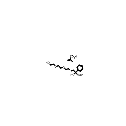 C=C(C)C(=O)O.CCCCCCCCCC(O)(COCCOCCOCCO)c1ccccc1